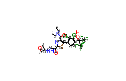 CCN(CC)C(=O)c1nc(C(=O)CNC2COC2)sc1-c1ccc(C(O)(C(F)(F)F)C(F)(F)F)c(Cl)c1Cl